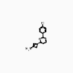 NC12CC(c3ccnc(-c4ccc(Cl)cc4)n3)(C1)C2